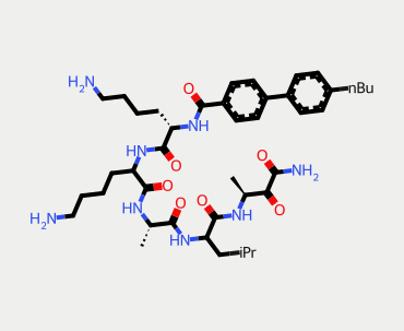 CCCCc1ccc(-c2ccc(C(=O)N[C@@H](CCCCN)C(=O)NC(CCCCN)C(=O)N[C@@H](C)C(=O)NC(CC(C)C)C(=O)N[C@@H](C)C(=O)C(N)=O)cc2)cc1